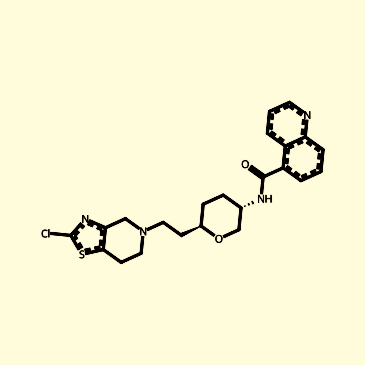 O=C(N[C@H]1CC[C@H](CCN2CCc3sc(Cl)nc3C2)OC1)c1cccc2ncccc12